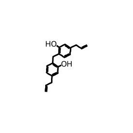 C=CCc1ccc(Cc2ccc(CC=C)cc2O)c(O)c1